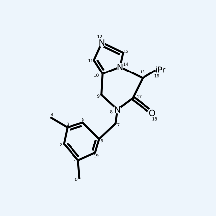 Cc1cc(C)cc(CN2Cc3cncn3C(C(C)C)C2=O)c1